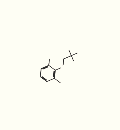 Cc1cccc(Cl)c1OCC(F)(F)F